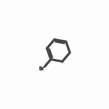 BrC1=CC=CC[CH]1